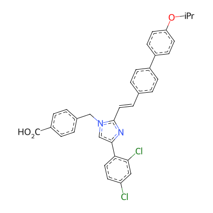 CC(C)Oc1ccc(-c2ccc(/C=C/c3nc(-c4ccc(Cl)cc4Cl)cn3Cc3ccc(C(=O)O)cc3)cc2)cc1